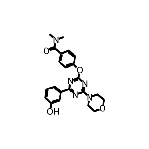 CN(C)C(=O)c1ccc(Oc2nc(-c3cccc(O)c3)nc(N3CCOCC3)n2)cc1